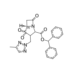 Cc1cnn(CC2C(C(=O)OC(c3ccccc3)c3ccccc3)N3C(=O)C[C@H]3S2(=O)=O)n1